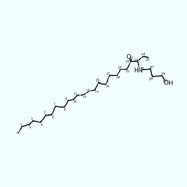 CCCCCCCCCCCCCCCCCCCCCC(=O)C(CC)NCCCO